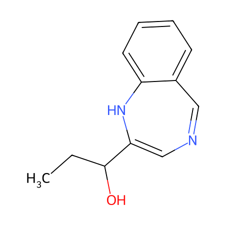 CCC(O)C1=CN=Cc2ccccc2N1